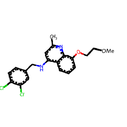 COCCOc1cccc2c(NCc3ccc(Cl)c(Cl)c3)cc(C)nc12